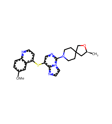 COc1ccc2nccc(Sc3cnc(N4CCC5(CC4)CO[C@@H](C)C5)n4ccnc34)c2c1